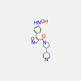 O=C(c1cnoc1-c1ccc(NO)cc1)N1CCC(C2C=CN=CC2)C1